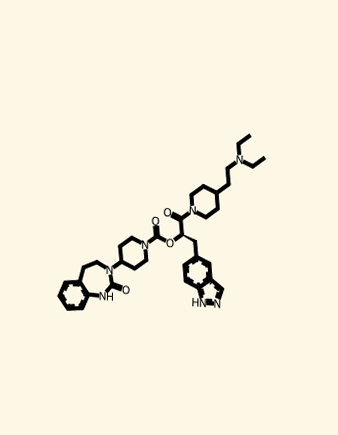 CCN(CC)CCC1CCN(C(=O)[C@@H](Cc2ccc3[nH]ncc3c2)OC(=O)N2CCC(N3CCc4ccccc4NC3=O)CC2)CC1